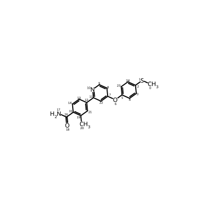 CSc1ccc(Oc2ccnc(-c3ccc(C(N)=O)c(C)c3)c2)cc1